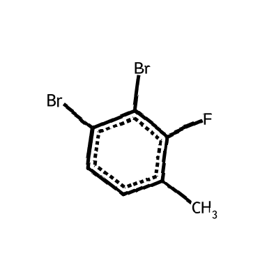 Cc1ccc(Br)c(Br)c1F